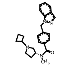 CN(C(=O)c1ccc(Cn2ncc3ccccc32)cc1)[C@@H]1CCN(C2CCC2)C1